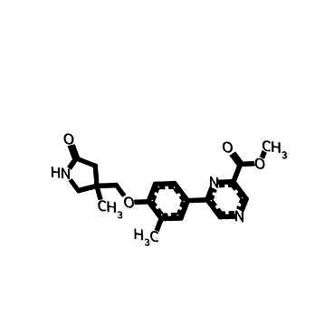 COC(=O)c1cncc(-c2ccc(OCC3(C)CNC(=O)C3)c(C)c2)n1